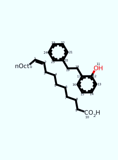 CCCCCCCC/C=C\CCCCCCCC(=O)O.Oc1ccccc1CCc1ccccc1